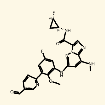 CNc1cc(Nc2cc(F)cc(-c3ccc(C=O)cn3)c2OC)nn2c(C(=O)N[C@@H]3C[C@@H]3F)cnc12